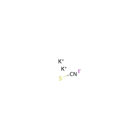 N#C[S-].[I-].[K+].[K+]